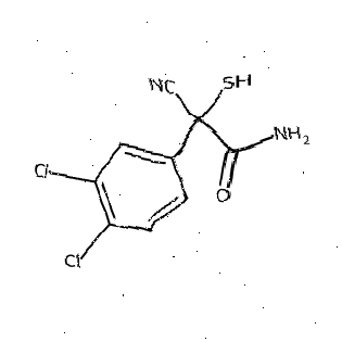 N#CC(S)(C(N)=O)c1ccc(Cl)c(Cl)c1